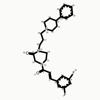 O=C(/C=C/c1cc(F)cc(F)c1)N1CCN(CCCN2CCC(c3ccccc3)CC2)C(=O)C1